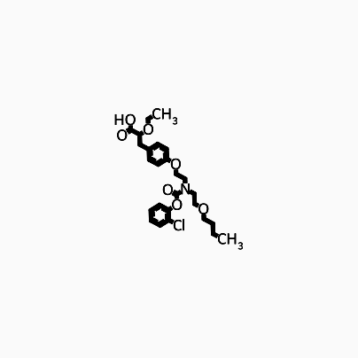 CCCCOCCN(CCOc1ccc(CC(OCC)C(=O)O)cc1)C(=O)Oc1ccccc1Cl